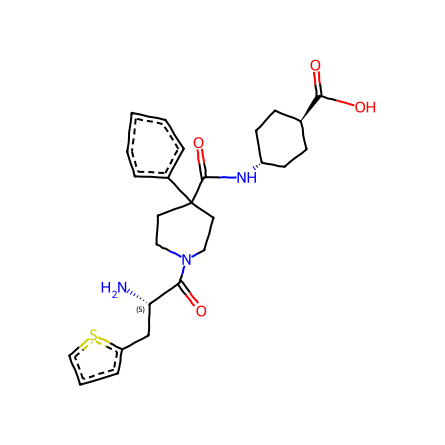 N[C@@H](Cc1cccs1)C(=O)N1CCC(C(=O)N[C@H]2CC[C@H](C(=O)O)CC2)(c2ccccc2)CC1